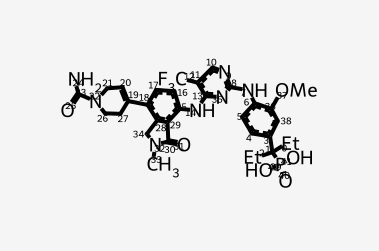 CCC(CC)(c1ccc(Nc2ncc(C(F)(F)F)c(Nc3ccc(C4=CCN(C(N)=O)CC4)c4c3C(=O)N(C)C4)n2)c(OC)c1)P(=O)(O)O